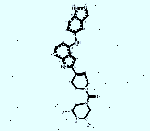 C[C@@H]1CN(C(=O)N2CC=C(c3cc4c(Nc5ccc6[nH]ncc6c5)ccnc4[nH]3)CC2)C[C@H](C)O1